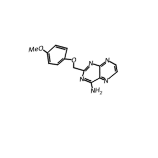 COc1ccc(OCc2nc(N)c3nccnc3n2)cc1